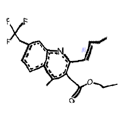 C/C=C/c1nc2cc(C(F)(F)F)ccc2c(C)c1C(=O)OCC